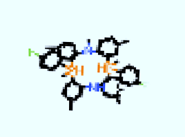 Cc1ccc2c(c1)Nc1cc(C)ccc1[PH](C)(c1ccc(F)cc1)c1cc(C)ccc1N(C)c1ccc(C)cc1[PH]2(C)c1ccc(F)cc1